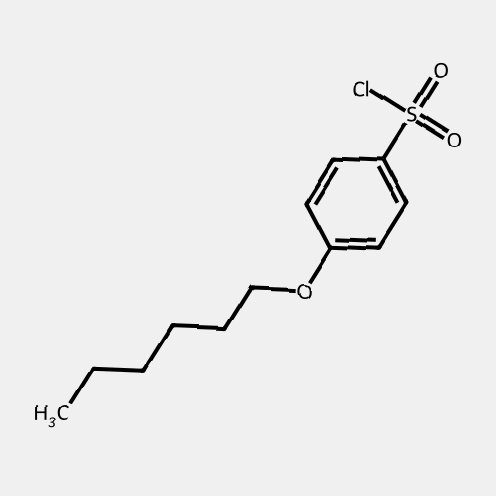 CCCCCCOc1ccc(S(=O)(=O)Cl)cc1